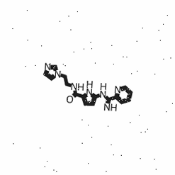 N=C(Nc1ccc(C(=O)NCCn2ccnc2)[nH]1)c1ccccn1